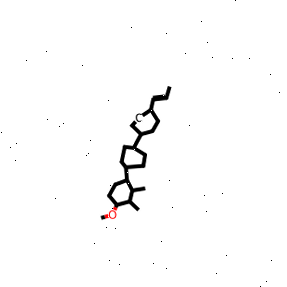 C/C=C/C1CCC(C2CCC(C3CCC(OC)C(C)C3C)CC2)CC1